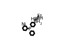 BBBCC.[Ni].c1ccc(P(c2ccccc2)c2ccccc2)cc1